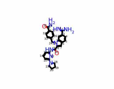 N=C(N)c1ccc2cc(C(=O)Nc3cccc(N4CCCC4)n3)n(Cc3ccc(C(N)=O)cc3)c2c1